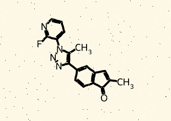 CC1=Cc2cc(-c3nnn(-c4cccnc4F)c3C)ccc2C1=O